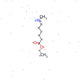 CCOC(=O)CCCCCNC